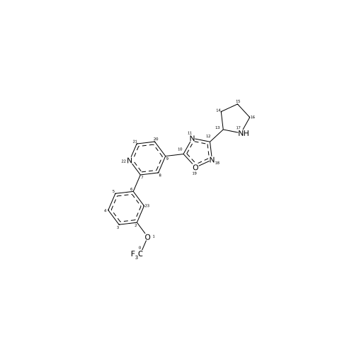 FC(F)(F)Oc1cccc(-c2cc(-c3nc(C4CCCN4)no3)ccn2)c1